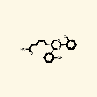 O=C(O)CC/C=C\C[C@H]1COC(c2ccccc2Cl)O[C@H]1c1ccccc1O